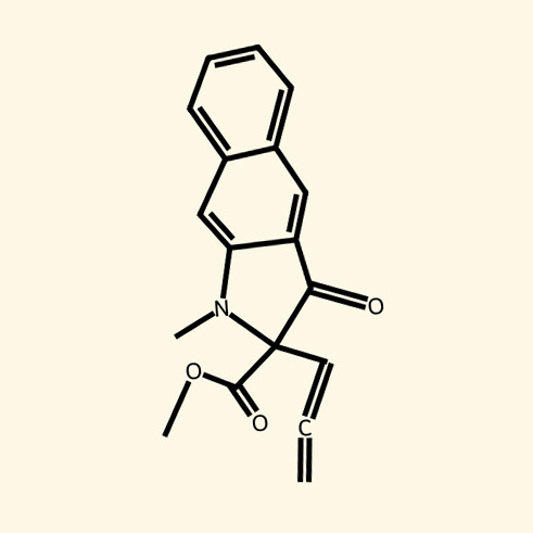 C=C=CC1(C(=O)OC)C(=O)c2cc3ccccc3cc2N1C